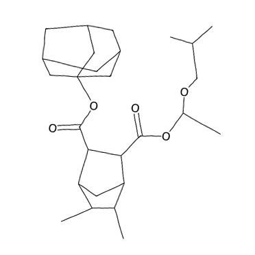 CC(C)COC(C)OC(=O)C1C2CC(C(C)C2C)C1C(=O)OC12CC3CC(CC(C3)C1)C2